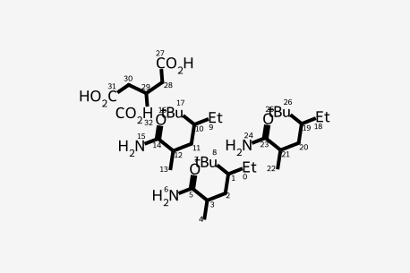 CCC(CC(C)C(N)=O)C(C)(C)C.CCC(CC(C)C(N)=O)C(C)(C)C.CCC(CC(C)C(N)=O)C(C)(C)C.O=C(O)CC(CC(=O)O)C(=O)O